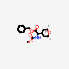 COC(=O)NC(C(=O)OCc1ccccc1)C1C[C@@H](C)O[C@@H](C)C1